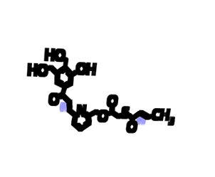 C/C=C/C(=O)SCC(=O)OCc1cccc(/C=C/C(=O)c2cc(O)c(CO)c(CO)c2)n1